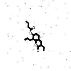 C=CCc1c(OC(=O)CCC)ccc2cc(CC)c(=O)oc12